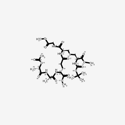 COC(=O)CNC(=O)[C@@H](CSC[C@H](NC(=O)OC(C)(C)C)C(=O)OC)NC(=O)CC[C@@H](NC(=O)[C@H](C)NC(=O)[C@H](C)OC(C)=O)C(=O)OC